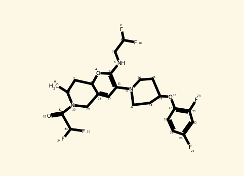 CC1CC2OC(NCC(F)F)=C(N3CCC(Oc4ccc(F)cc4F)CC3)C=C2CN1C(=O)C(F)F